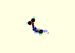 Nc1cc(Cl)c(NC(=O)CN2CCN(CCCCC(c3ccc(F)cc3)c3ccc(F)cc3)CC2)c(Cl)c1